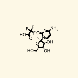 C[C@@]1(n2ccc(N)nc2=O)O[C@H](CO)[C@@H](O)[C@H]1O.O=C(O)C(F)(F)F